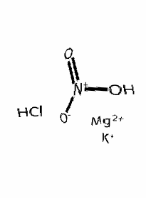 Cl.O=[N+]([O-])O.[K+].[Mg+2]